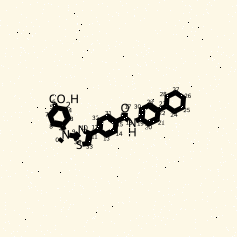 CN(c1ccc(C(=O)O)cc1)c1nc(-c2ccc(C(=O)Nc3ccc(C4CCCCC4)cc3)cc2)cs1